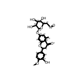 COc1ccc(C2CC(=O)c3c(C)cc(O[C@@H]4OC(CN=O)[C@@H](O)C(O)C4O)cc3O2)cc1O